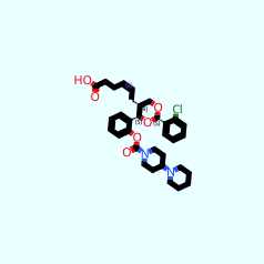 O=C(O)CC/C=C\C[C@@H]1CO[C@H](c2ccccc2Cl)O[C@@H]1c1ccccc1OC(=O)N1CCC(N2CCCCC2)CC1